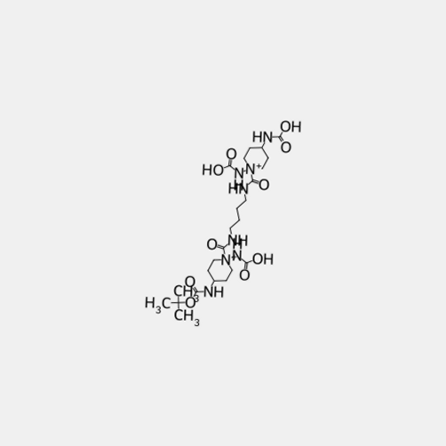 CC(C)(C)OC(=O)NC1CC[N+](NC(=O)O)(C(=O)NCCCCNC(=O)[N+]2(NC(=O)O)CCC(NC(=O)O)CC2)CC1